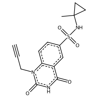 C#CCn1c(=O)[nH]c(=O)c2cc(S(=O)(=O)NC3(C)CC3)ccc21